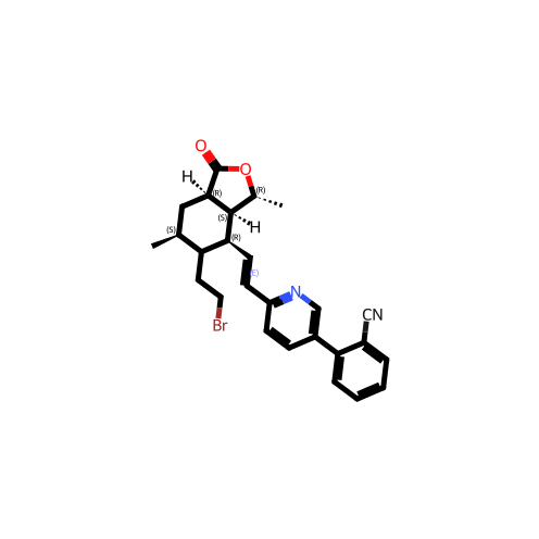 C[C@H]1C[C@H]2C(=O)O[C@H](C)[C@H]2[C@@H](/C=C/c2ccc(-c3ccccc3C#N)cn2)C1CCBr